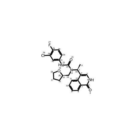 C[C@@H](c1c[nH]c(=O)c2ccccc12)N(C[C@H]1CCCO1)C(=O)Nc1ccc(F)c(Cl)c1